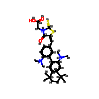 CN(C)c1ccc(C=C2SC(=S)N(CC(=O)O)C2=O)cc1-c1cc2c(cc1N(C)C)C(C)(C)CCC2(C)C